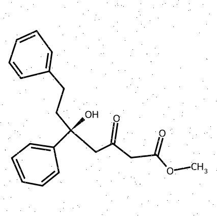 COC(=O)CC(=O)C[C@@](O)(CCc1ccccc1)c1ccccc1